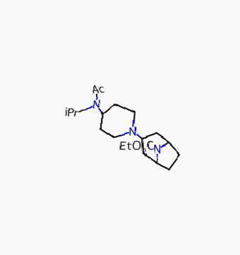 CCOC(=O)N1C2CCC1CC(N1CCC(N(C(C)=O)C(C)C)CC1)C2